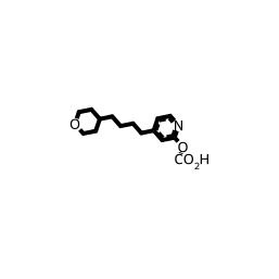 O=C(O)Oc1cc(CCCCC2CCOCC2)ccn1